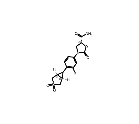 NC(=O)[C@H]1CN(c2ccc(C3[C@H]4CS(=O)(=O)C[C@@H]34)c(F)c2)C(=O)O1